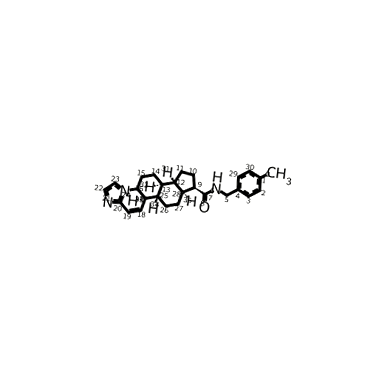 Cc1ccc(CNC(=O)[C@@H]2CC[C@H]3[C@@H]4CCC5[C@H](C=Cc6nccn65)[C@H]4CC[C@@H]32)cc1